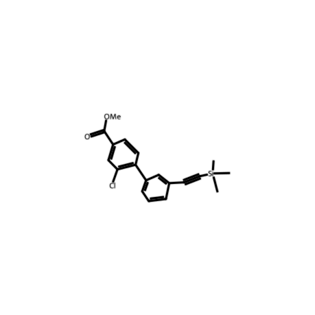 COC(=O)c1ccc(-c2cccc(C#C[Si](C)(C)C)c2)c(Cl)c1